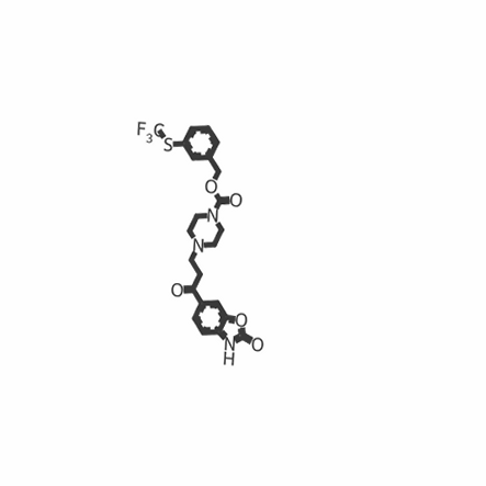 O=C(CCN1CCN(C(=O)OCc2cccc(SC(F)(F)F)c2)CC1)c1ccc2[nH]c(=O)oc2c1